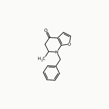 CC1CC(=O)c2ccoc2N1Cc1ccccc1